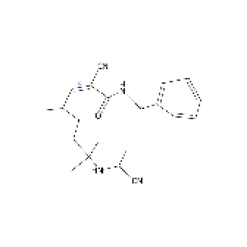 CC(/C=C(/C#N)C(=O)NCc1ccccc1)CCC(C)(C)NC(C)C#N